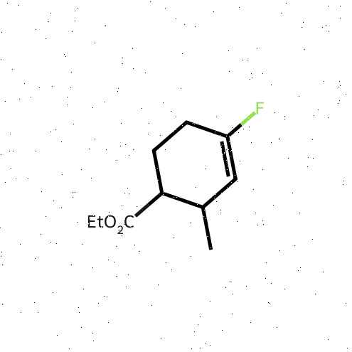 CCOC(=O)C1CCC(F)=CC1C